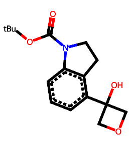 CC(C)(C)OC(=O)N1CCc2c1cccc2C1(O)COC1